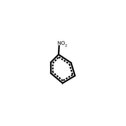 O=[N+]([O-])c1cc[c]cc1